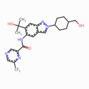 CC(C)(O)c1cc2nn(C3CCC(CO)CC3)cc2cc1NC(=O)c1cncc(C(F)(F)F)n1